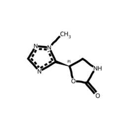 Cn1ncnc1[C@H]1CNC(=O)O1